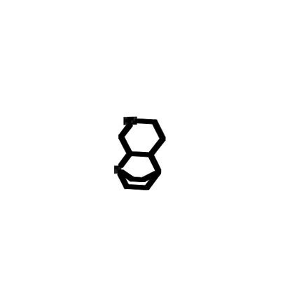 C1CC2C3CCN(CC3)C2CN1